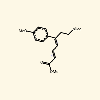 CCCCCCCCCCCC/C(=C/C=C/C(=O)OC)c1ccc(OC)cc1